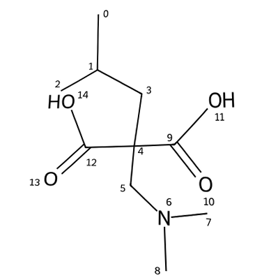 CC(C)CC(CN(C)C)(C(=O)O)C(=O)O